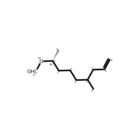 [CH2][C@H](CCCC(C)CC=C)OC=O